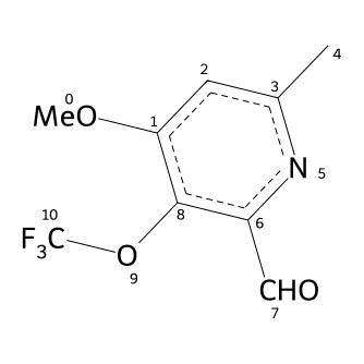 COc1cc(C)nc(C=O)c1OC(F)(F)F